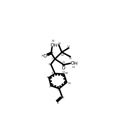 C=Cc1ccc(CC(C(=O)O)(C(=O)O)C(C)(C)C)cc1